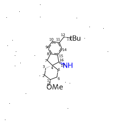 CO[C@H]1CC[C@]2(CC1)Cc1ccc(CC(C)(C)C)cc1C2=N